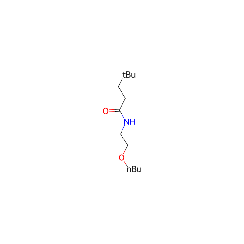 CCCCOCCNC(=O)CCC(C)(C)C